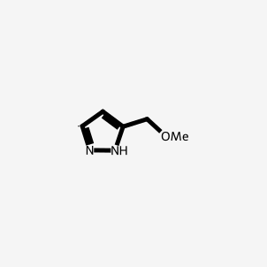 COCc1c[c]n[nH]1